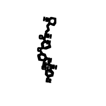 CCc1ccc(Nc2nc3cc(Oc4ccnc(C(=O)NCCCC5CCCCN5)c4)ccc3n2C)cc1